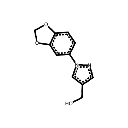 OCc1cnn(-c2ccc3c(c2)OCO3)c1